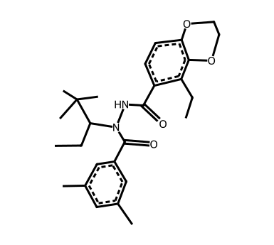 CCc1c(C(=O)NN(C(=O)c2cc(C)cc(C)c2)C(CC)C(C)(C)C)ccc2c1OCCO2